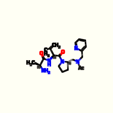 C=C(C)[C@H](NC(=O)[C@H](C)N)C(=O)N1CCC[C@H]1CN(Cc1ccccn1)C(C)=O